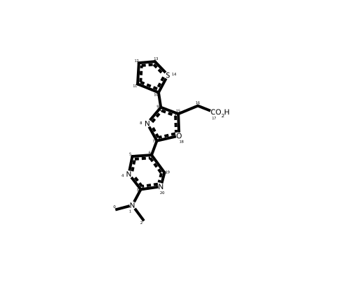 CN(C)c1ncc(-c2nc(-c3cccs3)c(CC(=O)O)o2)cn1